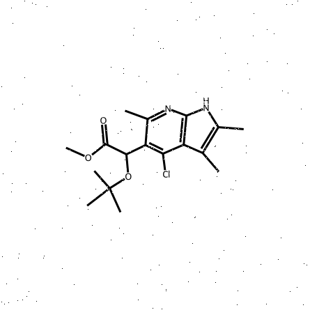 COC(=O)C(OC(C)(C)C)c1c(C)nc2[nH]c(C)c(C)c2c1Cl